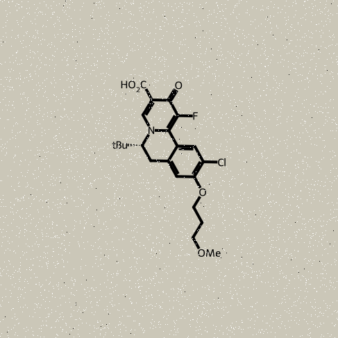 COCCCOc1cc2c(cc1Cl)-c1c(F)c(=O)c(C(=O)O)cn1[C@@H](C(C)(C)C)C2